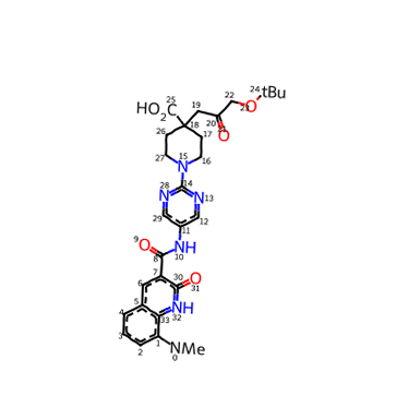 CNc1cccc2cc(C(=O)Nc3cnc(N4CCC(CC(=O)COC(C)(C)C)(C(=O)O)CC4)nc3)c(=O)[nH]c12